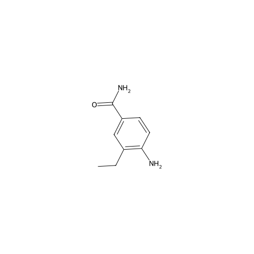 CCc1cc(C(N)=O)ccc1N